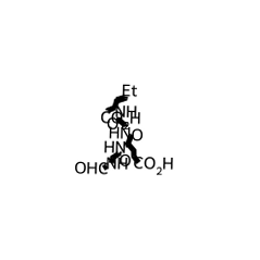 CC/C=C/C(CC(=O)O)NC(=O)CNC(=O)C(CCC(=O)O)NC(=O)CNC=O